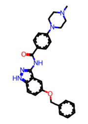 CN1CCN(c2ccc(C(=O)Nc3n[nH]c4ccc(OCc5ccccc5)cc34)cc2)CC1